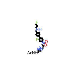 CC(=O)NCc1cn(C[C@H]2CN(c3ccc(-c4ccc(CNCCCF)cc4)c(F)c3)C(=O)O2)nn1